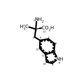 C[C@](N)(Cc1ccc2[nH]ccc2c1)C(=O)O